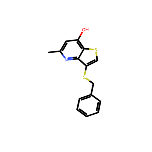 Cc1cc(O)c2scc(SCc3ccccc3)c2n1